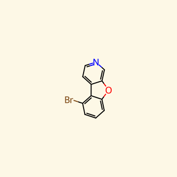 Brc1cccc2oc3cnccc3c12